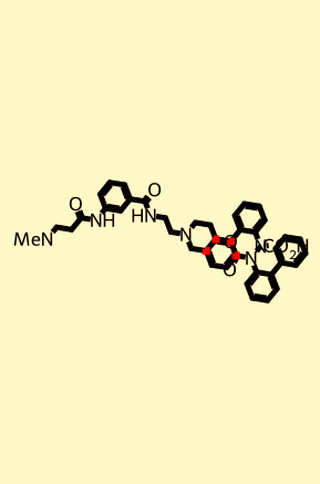 CNCCC(=O)Nc1cccc(C(=O)NCCN2CCC(OC(=O)N(c3ccccc3-c3ccccc3)N(C(=O)O)c3ccccc3-c3ccccc3)CC2)c1